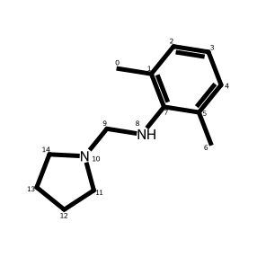 Cc1cccc(C)c1NCN1CCCC1